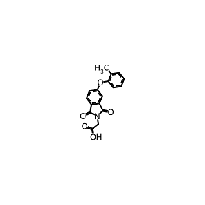 Cc1ccccc1Oc1ccc2c(c1)C(=O)N(CC(=O)O)C2=O